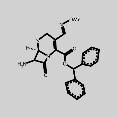 CO/N=C/C1=C(C(=O)OC(c2ccccc2)c2ccccc2)N2C(=O)C(N)[C@H]2SC1